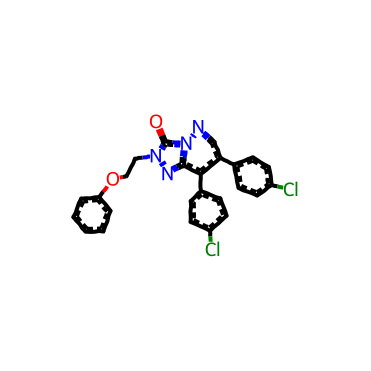 O=c1n(CCOc2ccccc2)nc2c(-c3ccc(Cl)cc3)c(-c3ccc(Cl)cc3)cnn12